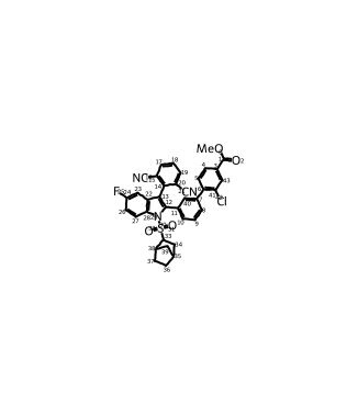 COC(=O)c1ccc(-c2cccc(-c3c(-c4c(C#N)cccc4C#N)c4cc(F)ccc4n3S(=O)(=O)C3CC4CCC3C4)c2)c(Cl)c1